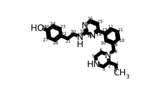 CCC1CNCCN1Cc1cccc(-c2ccnc(NCCc3ccc(O)cc3)n2)c1